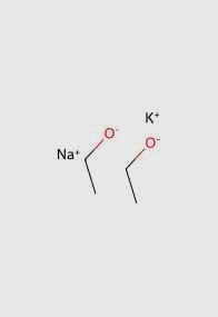 CC[O-].CC[O-].[K+].[Na+]